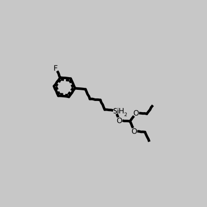 CCOC(OCC)O[SiH2]CCCCc1cccc(F)c1